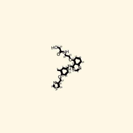 Cc1cc(Nc2ncnc3cccc(OCCNC(=O)CO)c23)ccc1OCc1cscn1